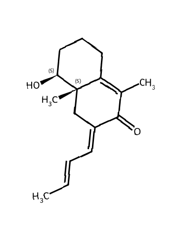 CC=CC=C1C[C@@]2(C)C(=C(C)C1=O)CCC[C@@H]2O